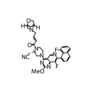 COc1nc(N2CCN(C(=O)/C=C/CN3C[C@H]4C[C@@H]3CO4)[C@@H](CC#N)C2)c2cnc(-c3cccc4cccc(F)c34)c(F)c2n1